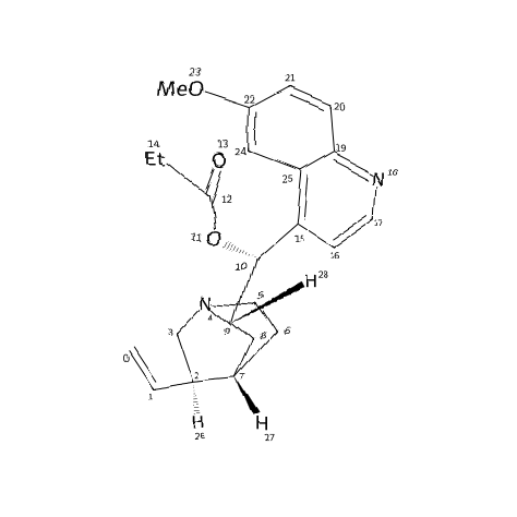 C=C[C@H]1CN2CC[C@H]1C[C@H]2[C@H](OC(=O)CC)c1ccnc2ccc(OC)cc12